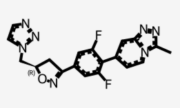 Cc1nnc2cc(-c3c(F)cc(C4=NO[C@@H](Cn5ccnn5)C4)cc3F)ccn12